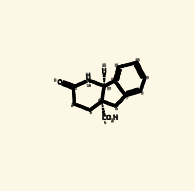 O=C1CC[C@]2(C(=O)O)Cc3ccccc3[C@@H]2N1